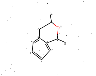 CC1Cc2ccccc2C(C)O1